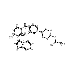 CNC(=O)CN1CCN(c2ccc(Nc3ncc(Cl)c(-c4cnc5ccccn45)n3)c(OC)c2)CC1